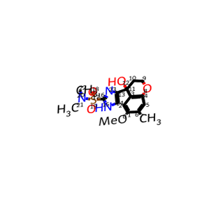 COc1cc2c(cc1C)OCCC2(O)c1c[nH]c(S(=O)(=O)N(C)C)n1